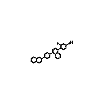 N#Cc1ccc(-c2ccc(-c3ccc(-c4ccc5ccccc5c4)cc3)c3ccccc23)c(F)c1